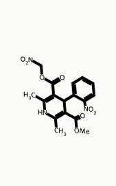 COC(=O)C1=C(C)NC(C)=C(C(=O)OC[N+](=O)[O-])C1c1ccccc1[N+](=O)[O-]